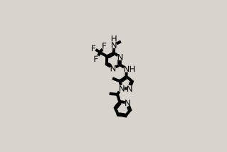 CNc1nc(Nc2cnn(C(C)c3ccccn3)c2C)ncc1C(F)(F)F